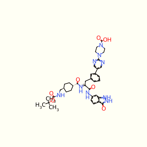 CC(C)(C)OC(=O)NC[C@H]1CC[C@H](C(=O)N[C@@H](Cc2cccc(-c3cnc(N4CCN(C(=O)O)CC4)nc3)c2)C(=O)Nc2ccc3c(=O)[nH][nH]c3c2)CC1